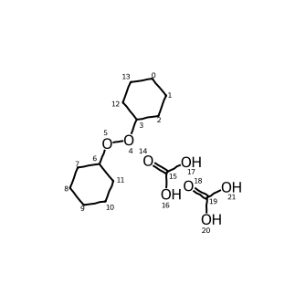 C1CCC(OOC2CCCCC2)CC1.O=C(O)O.O=C(O)O